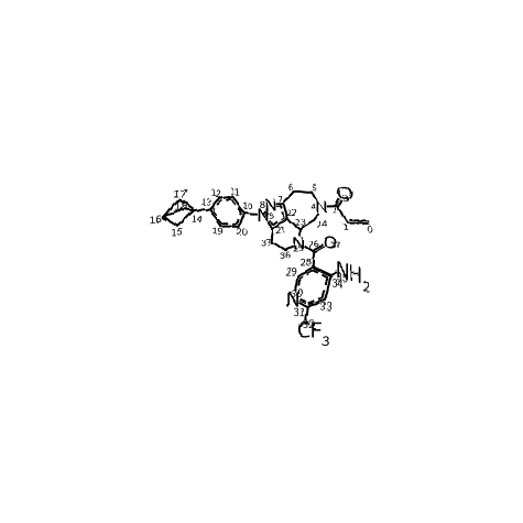 C=CC(=O)N1CCc2nn(-c3ccc(C45CC(C4)C5)cc3)c3c2C(C1)N(C(=O)c1cnc(C(F)(F)F)cc1N)CC3